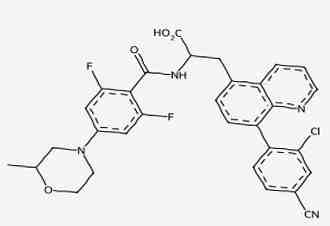 CC1CN(c2cc(F)c(C(=O)NC(Cc3ccc(-c4ccc(C#N)cc4Cl)c4ncccc34)C(=O)O)c(F)c2)CCO1